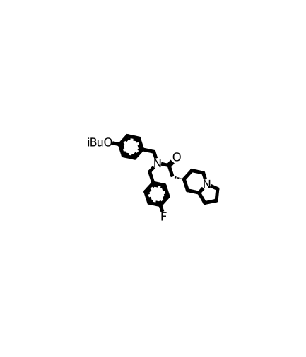 CC(C)COc1ccc(CN(Cc2ccc(F)cc2)C(=O)C[C@@H]2CCN3CCCC3C2)cc1